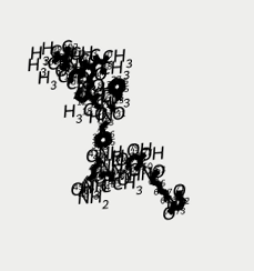 CCC(C)C(C(CC(=O)N1CCCC1C(OC)C(C)C(=O)N[C@@H](Cc1ccccc1)C(=O)NCCc1ccc(NC(=O)C(CCCNC(N)=O)NC(=O)[C@H](NC(=O)[C@H]2O[C@@H](CNC(=O)CCCCCN3C(=O)C=CC3=O)C(O)[C@@H](O)C2O)C(C)C)cc1)OC)C(C)C(=O)[C@@H](NC(=O)C(C(C)C)N(C)C)C(C)C